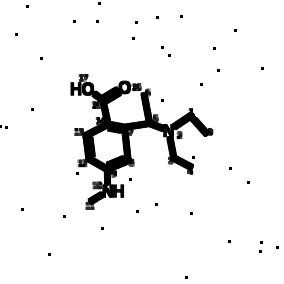 CCN(CC)C(C)c1cc(NC)ccc1C(=O)O